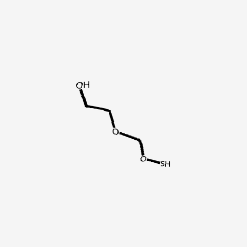 OCCOCOS